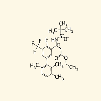 CCOC(=O)C[C@H](N[S+]([O-])C(C)(C)C)c1cc(-c2c(C)ccc(C)c2C)cc(C(F)(F)F)c1F